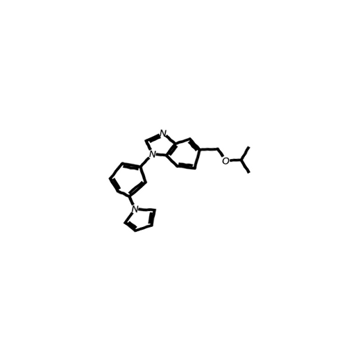 CC(C)OCc1ccc2c(c1)ncn2-c1cccc(-n2cccc2)c1